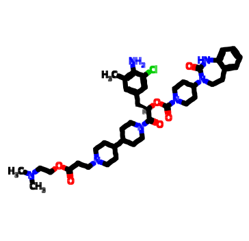 Cc1cc(C[C@@H](OC(=O)N2CCC(N3CCc4ccccc4NC3=O)CC2)C(=O)N2CCC(C3CCN(CCC(=O)OCCN(C)C)CC3)CC2)cc(Cl)c1N